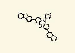 Cc1ccc(N2c3ccc(-c4ccc5c(c4)Cc4ccccc4-5)cc3Oc3cc(-c4ccc5ccccc5c4)ccc32)cc1